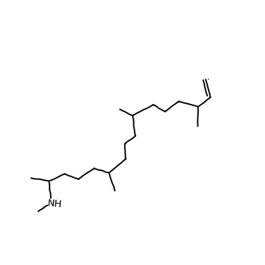 [CH]=CC(C)CCCC(C)CCCC(C)CCCC(C)NC